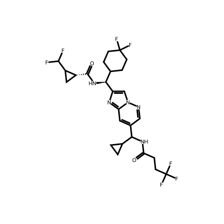 O=C(CCC(F)(F)F)NC(c1cnn2cc([C@@H](NC(=O)[C@@H]3CC3C(F)F)C3CCC(F)(F)CC3)nc2c1)C1CC1